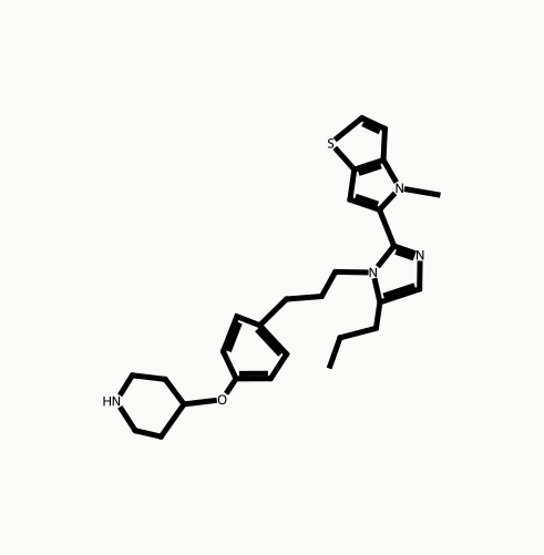 CCCc1cnc(-c2cc3sccc3n2C)n1CCCc1ccc(OC2CCNCC2)cc1